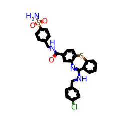 NS(=O)(=O)c1ccc(CNC(=O)c2ccc3c(c2)N=C(NCc2ccc(Cl)cc2)c2ccccc2S3)cc1